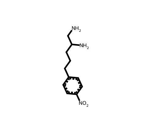 NCC(N)CCCc1ccc([N+](=O)[O-])cc1